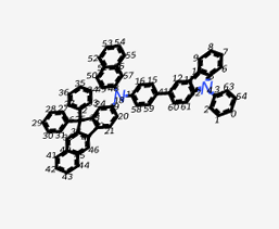 c1ccc(-n2c3ccccc3c3cc(-c4ccc(N(c5ccc6c(c5)C(c5ccccc5)(c5ccccc5)c5cc7ccccc7cc5-6)c5ccc6ccccc6c5)cc4)ccc32)cc1